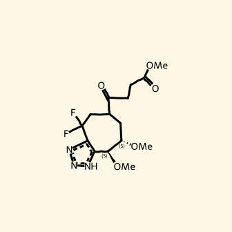 COC(=O)CCC(=O)C1C[C@H](OC)[C@@H](OC)c2[nH]nnc2C(F)(F)C1